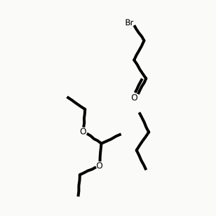 CCCC.CCOC(C)OCC.O=CCCBr